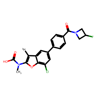 [2H]c1c(N(C)C(=O)O)oc2c(Cl)cc(-c3ccc(C(=O)N4CC(F)C4)cc3)cc12